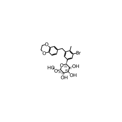 Cc1c(Br)cc([C@@H]2O[C@H](OO)[C@@H](O)[C@H](O)[C@H]2O)cc1Cc1ccc2c(c1)OCCO2